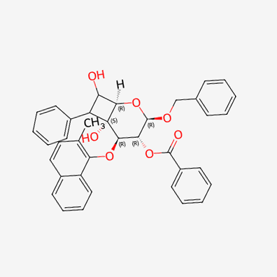 Cc1ccc2ccccc2c1O[C@@H]1[C@@H](OC(=O)c2ccccc2)[C@H](OCc2ccccc2)O[C@@H]2C(O)C(c3ccccc3)[C@@]21O